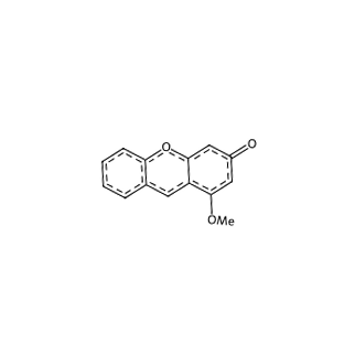 COc1cc(=O)cc2oc3ccccc3cc1-2